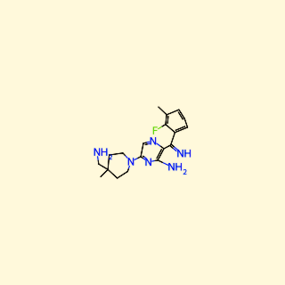 Cc1cccc(C(=N)c2ncc(N3CCC(C)(CN)CC3)nc2N)c1F